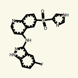 O=S(=O)(c1ccc2nccc(Nc3n[nH]c4ccc(F)cc34)c2c1)c1c[nH]cn1